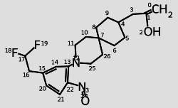 C=C(O)CC1CCC2(CC1)CCN(c1cc(CC(F)F)ccc1N=O)CC2